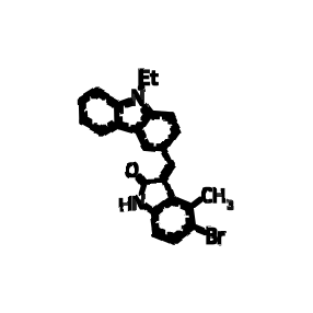 CCn1c2ccccc2c2cc(C=C3C(=O)Nc4ccc(Br)c(C)c43)ccc21